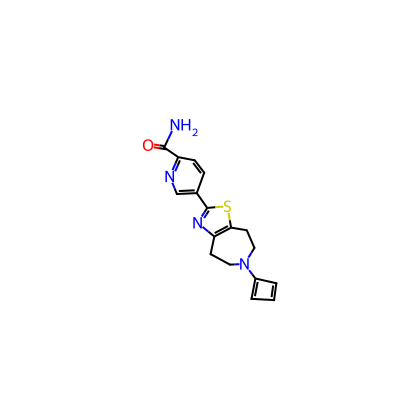 NC(=O)c1ccc(-c2nc3c(s2)CCN(C2=CC=C2)CC3)cn1